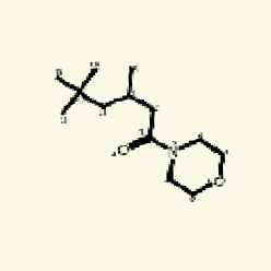 CC(CC(=O)N1CCOCC1)CC(C)(C)C